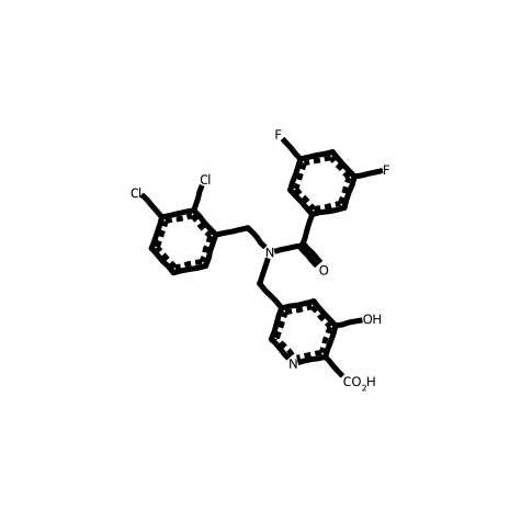 O=C(O)c1ncc(CN(Cc2cccc(Cl)c2Cl)C(=O)c2cc(F)cc(F)c2)cc1O